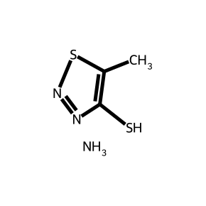 Cc1snnc1S.N